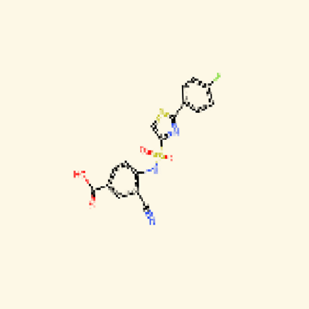 N#Cc1cc(C(=O)O)ccc1NS(=O)(=O)c1csc(-c2ccc(F)cc2)n1